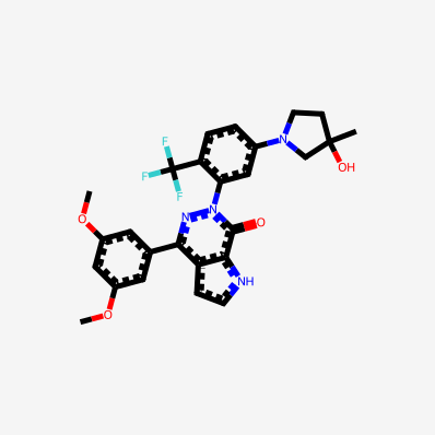 COc1cc(OC)cc(-c2nn(-c3cc(N4CCC(C)(O)C4)ccc3C(F)(F)F)c(=O)c3[nH]ccc23)c1